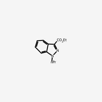 CCCn1nc(C(=O)OCC)c2ccccc21